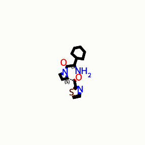 N[C@H](C(=O)N1CC[C@H]1C(=O)c1nccs1)C1CCCCC1